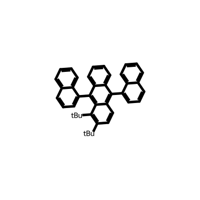 CC(C)(C)c1ccc2c(-c3cccc4ccccc34)c3ccccc3c(-c3cccc4ccccc34)c2c1C(C)(C)C